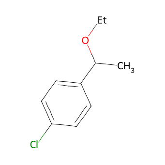 CCOC(C)c1ccc(Cl)cc1